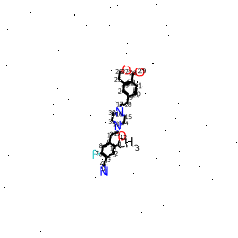 Cc1cc(C#N)c(F)cc1CC(=O)N1CCN(CCc2ccc3c(c2)CCOC3=O)CC1